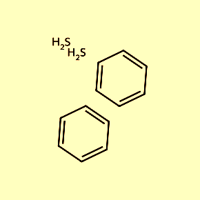 S.S.c1ccccc1.c1ccccc1